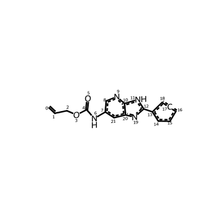 C=CCOC(=O)Nc1cnc2[nH]c(-c3ccccc3)nc2c1